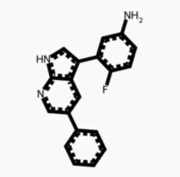 Nc1ccc(F)c(-c2c[nH]c3ncc(-c4ccccc4)cc23)c1